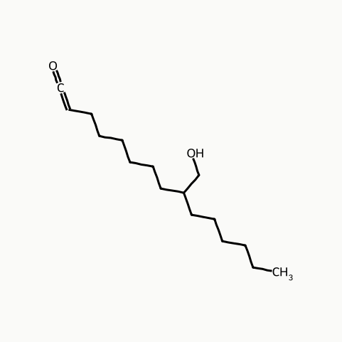 CCCCCCC(CO)CCCCCCC=C=O